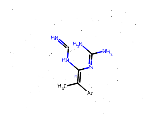 CC(=O)/C(C)=C(\N=C(N)N)NC=N